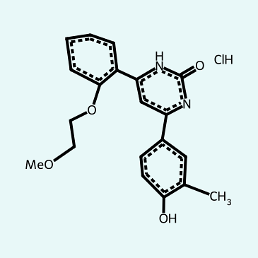 COCCOc1ccccc1-c1cc(-c2ccc(O)c(C)c2)nc(=O)[nH]1.Cl